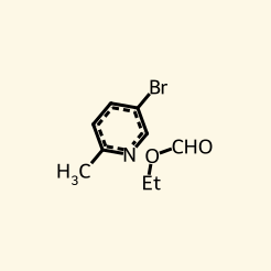 CCOC=O.Cc1ccc(Br)cn1